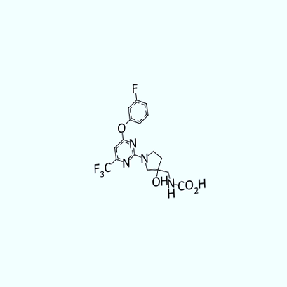 O=C(O)NCC1(O)CCN(c2nc(Oc3cccc(F)c3)cc(C(F)(F)F)n2)C1